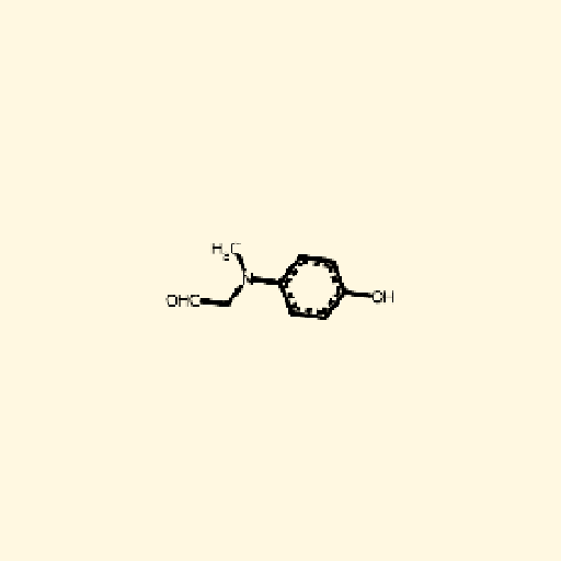 CN(CC=O)c1ccc(O)cc1